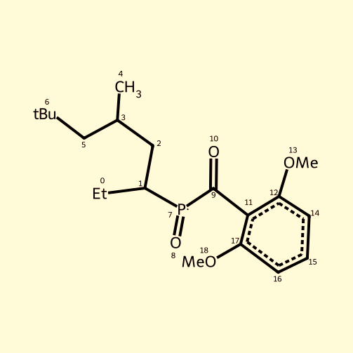 CCC(CC(C)CC(C)(C)C)[P](=O)C(=O)c1c(OC)cccc1OC